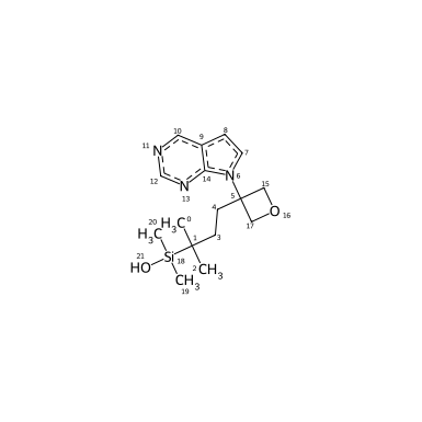 CC(C)(CCC1(n2ccc3cncnc32)COC1)[Si](C)(C)O